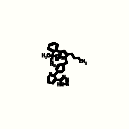 CCCCc1cn(-c2ccccc2C(C)(C)C)c(=O)n1Cc1ccc(-c2ncccc2-c2nnn[nH]2)cc1